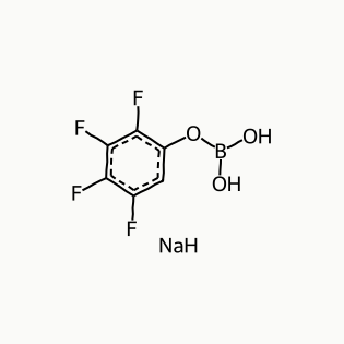 OB(O)Oc1cc(F)c(F)c(F)c1F.[NaH]